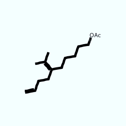 C=CCCC(CCCCCOC(C)=O)=C(C)C